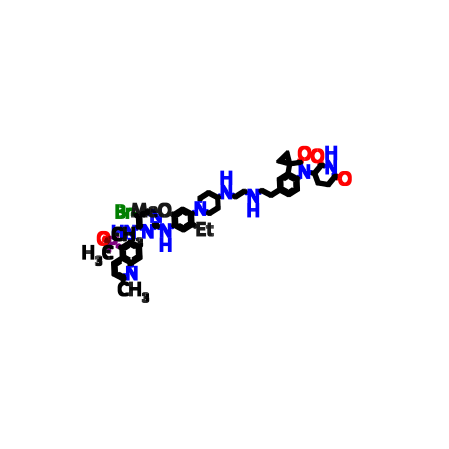 CCc1cc(Nc2ncc(Br)c(Nc3ccc4nc(C)ccc4c3P(C)(C)=O)n2)c(OC)cc1N1CCC(NCCNCCc2ccc3c(c2)C2(CC2)C(=O)N3C2CCC(=O)NC2=O)CC1